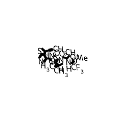 CC#Cc1csc2cncc(C(C#N)NC(=O)[C@@H]3[C@@H]4[C@H](CN3C(=O)[C@@H](NC(=O)C(F)(F)F)[C@@H](C)OC)C4(C)C)c12